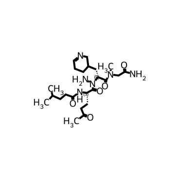 CC(=O)CC[C@H](NC(=O)CCC(C)C)C(=O)N(N)[C@H](CC1CCC=NC1)C(=O)N(C)CC(N)=O